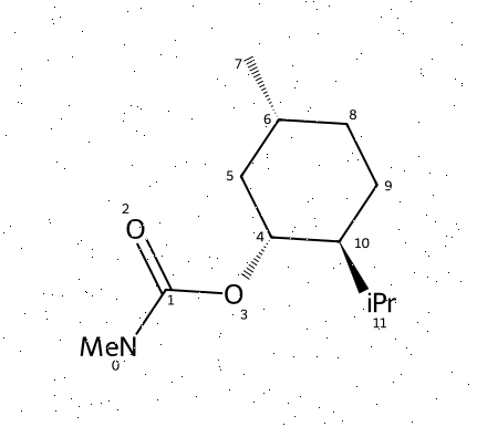 CNC(=O)O[C@@H]1C[C@H](C)CC[C@H]1C(C)C